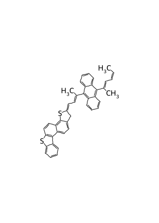 C/C=C\C=C(/C)c1c2ccccc2c(/C(C)=C/C=C2\Cc3ccc4c(ccc5sc6ccccc6c54)c3S2)c2ccccc12